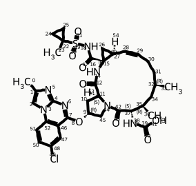 Cc1cn2c(n1)nc(O[C@@H]1C[C@H]3C(=O)N[C@]4(C(=O)NS(=O)(=O)C5(C)CC5)C[C@H]4C=CCC[C@@H](C)C[C@@H](C)[C@H](NC(=O)O)C(=O)N3C1)c1cc(Cl)ccc12